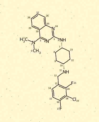 CN(C)c1nc(N[C@H]2CC[C@@H](NCc3ccc(F)c(Cl)c3F)CC2)nc2ccccc12